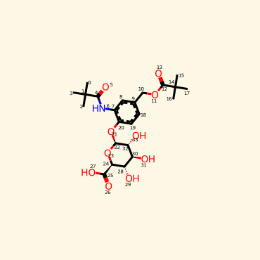 CC(C)(C)C(=O)Nc1cc(COC(=O)C(C)(C)C)ccc1O[C@@H]1O[C@H](C(=O)O)[C@@H](O)[C@H](O)[C@H]1O